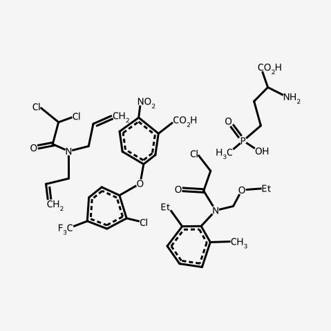 C=CCN(CC=C)C(=O)C(Cl)Cl.CCOCN(C(=O)CCl)c1c(C)cccc1CC.CP(=O)(O)CCC(N)C(=O)O.O=C(O)c1cc(Oc2ccc(C(F)(F)F)cc2Cl)ccc1[N+](=O)[O-]